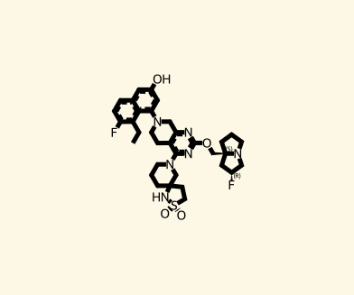 CCc1c(F)ccc2cc(O)cc(N3CCc4c(nc(OC[C@@]56CCCN5C[C@H](F)C6)nc4N4CCCC5(CCS(=O)(=O)N5)C4)C3)c12